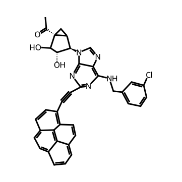 CC(=O)[C@]12CC1[C@@H](n1cnc3c(NCc4cccc(Cl)c4)nc(C#Cc4ccc5ccc6cccc7ccc4c5c67)nc31)[C@H](O)C2O